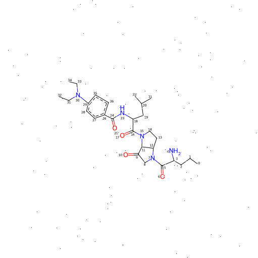 CCCC(N)C(=O)N1CC(=O)C2C1CCN2C(=O)C(CC(C)C)NC(=O)c1ccc(N(CC)CC)cc1